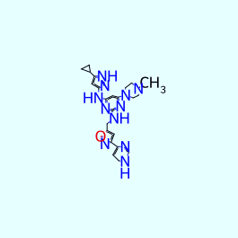 CN1CCN(c2cc(Nc3cc(C4CC4)[nH]n3)nc(NCc3cc(C4=CCNC=N4)no3)n2)CC1